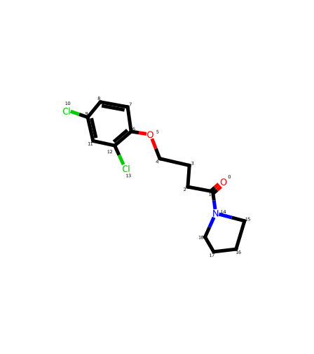 O=C(CCCOc1ccc(Cl)cc1Cl)N1CCCC1